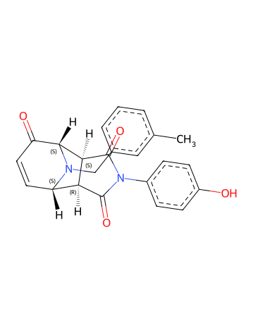 Cc1cccc(CN2[C@@H]3C(=O)C=C[C@H]2[C@@H]2C(=O)N(c4ccc(O)cc4)C(=O)[C@@H]23)c1